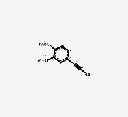 COc1ccc(C#CBr)cc1OC